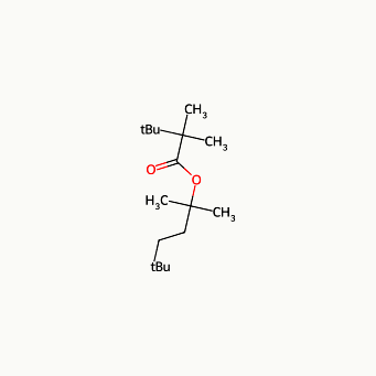 CC(C)(C)CCC(C)(C)OC(=O)C(C)(C)C(C)(C)C